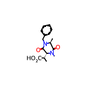 CC(C(=O)O)[C@@H]1C(=O)N(Cc2ccccc2)[C@@H](C)C(=O)N1C